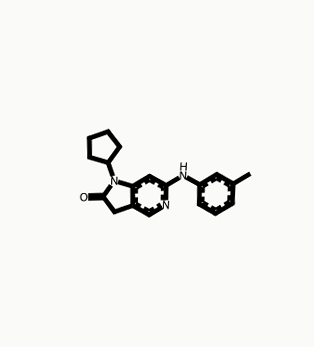 Cc1cccc(Nc2cc3c(cn2)CC(=O)N3C2CCCC2)c1